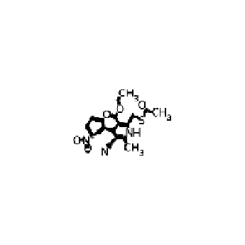 CCOC(=O)C1=C(CSC(C)=O)NC(C)=C(C#N)C1c1cccc([N+](=O)[O-])c1